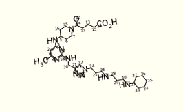 Cc1cc(NC2CCN(C(=O)CCCC(=O)O)CC2)nc(NCc2cn(CCCNCCCNC3CCCCC3)nn2)n1